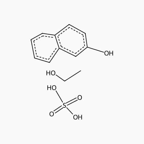 CCO.O=S(=O)(O)O.Oc1ccc2ccccc2c1